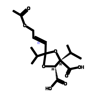 CC(=O)OC/C=C/C1(C(C)C)O[C@@H](C(=O)O)[C@@](C(=O)O)(C(C)C)O1